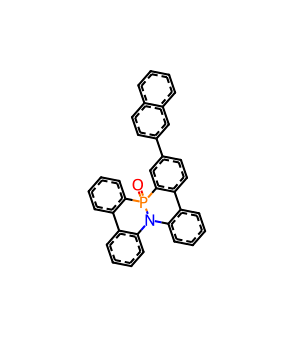 O=P12c3ccccc3-c3ccccc3N1c1ccccc1-c1ccc(-c3ccc4ccccc4c3)cc12